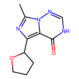 Cc1nc(C2CCCO2)c2c(=O)[nH]cnn12